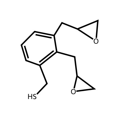 SCc1cccc(CC2CO2)c1CC1CO1